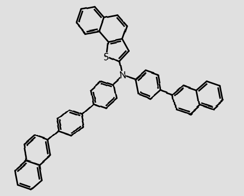 c1ccc2cc(-c3ccc(-c4ccc(N(c5ccc(-c6ccc7ccccc7c6)cc5)c5cc6ccc7ccccc7c6s5)cc4)cc3)ccc2c1